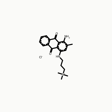 Cc1cc(NCCC[N+](C)(C)C)c2c(c1N)C(=O)c1ccccc1C2=O.[Cl-]